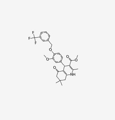 COC(=O)C1=C(C)NC2=C(C(=O)CC(C)(C)C2)C1c1ccc(OCc2cccc(C(F)(F)F)c2)c(OC)c1